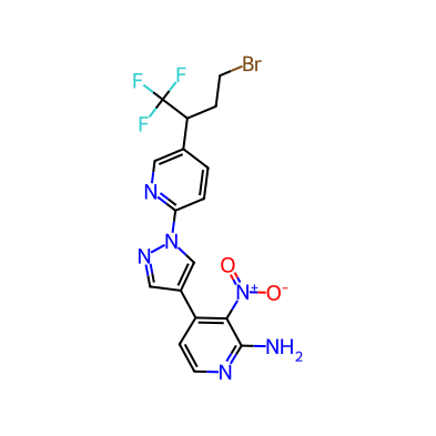 Nc1nccc(-c2cnn(-c3ccc(C(CCBr)C(F)(F)F)cn3)c2)c1[N+](=O)[O-]